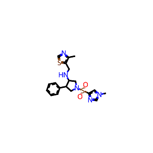 Cc1ncsc1CNC1CN(S(=O)(=O)c2cn(C)cn2)CC1c1ccccc1